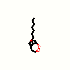 CCCCCCCCc1c2cccc1OOCC2